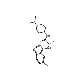 CC(C)N1CCC(NC(=O)[C@H](C)Nc2ncnc3ccc(Br)cc23)CC1